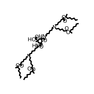 CCCCCCC(C)OC(=O)CCCCCN(CCCCCCNC(=O)C1(C)CC(C)(C(=O)O)CC(C)(C(=O)NCCCCCCN(CCCCCC(=O)OC(C)CCCCCC)CCCCCC(=O)OC(C)CCCCCC)C1)CCCCCC(=O)OC(C)CCCCCC